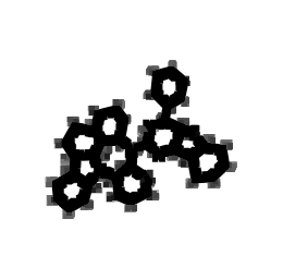 c1ccc(-c2nc(-n3c4cccc5ccc6c7ccccc7n(c7cccnc73)c6c54)nc3c2sc2ccccc23)cc1